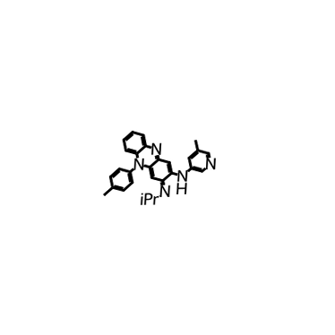 Cc1ccc(-n2c3c/c(=N\C(C)C)c(Nc4cncc(C)c4)cc-3nc3ccccc32)cc1